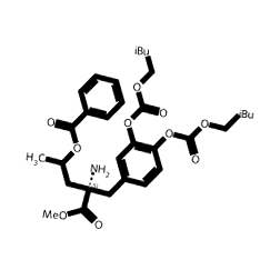 CCC(C)COC(=O)Oc1ccc(C[C@](N)(CC(C)OC(=O)c2ccccc2)C(=O)OC)cc1OC(=O)OCC(C)CC